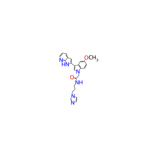 COc1ccc2c(c1)c(-c1cc3cccnc3[nH]1)cn2CC(=O)NCCCn1ccnc1